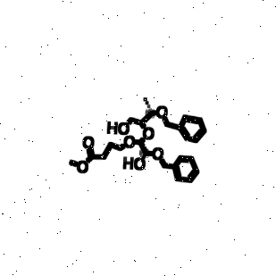 COC(=O)CCCOC(OC(CO)[C@H](C)OCc1ccccc1)[C@@H](O)OCc1ccccc1